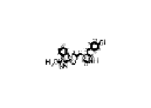 Cc1nnc2c(=O)n(CCCN3CCNCC3Cc3ccc(Cl)cc3)c3ccccc3n12